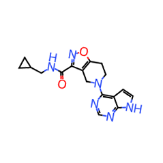 O=C(NCC1CC1)c1noc2c1CN(c1ncnc3[nH]ccc13)CC2